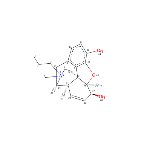 CCC[N+]1(C)CC[C@]23c4c5ccc(O)c4O[C@H]2[C@@H](O)C=C[C@H]3[C@H]1C5